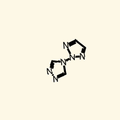 c1cnn(-n2cnnc2)n1